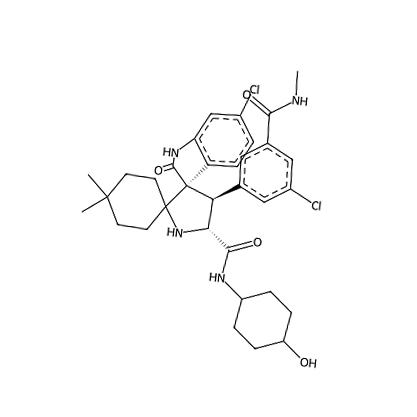 CNC(=O)c1cc(Cl)cc([C@H]2[C@H](C(=O)NC3CCC(O)CC3)NC3(CCC(C)(C)CC3)[C@@]23C(=O)Nc2cc(Cl)ccc23)c1